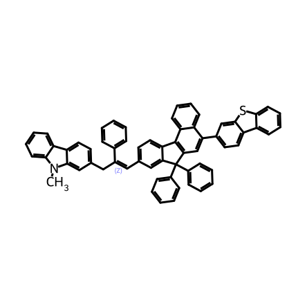 Cn1c2ccccc2c2ccc(C/C(=C/c3ccc4c(c3)C(c3ccccc3)(c3ccccc3)c3cc(-c5ccc6c(c5)sc5ccccc56)c5ccccc5c3-4)c3ccccc3)cc21